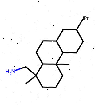 CC(C)C1CCC2C(CCC3C(C)(CN)CCCC23C)C1